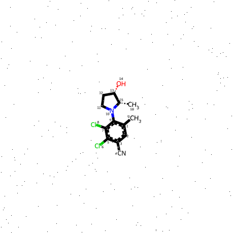 Cc1cc(C#N)c(Cl)c(Cl)c1N1CC[C@H](O)[C@@H]1C